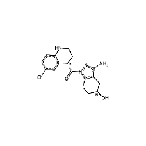 Nc1nn(C(=O)[C@H]2CCNc3ccc(Cl)cc32)c2c1C[C@@H](O)CC2